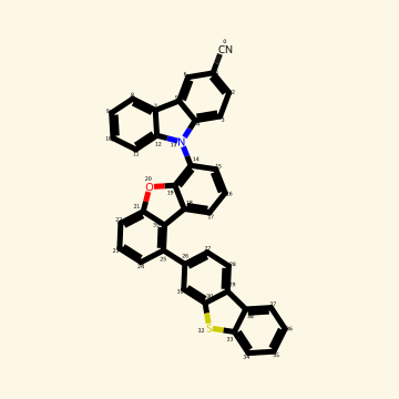 N#Cc1ccc2c(c1)c1ccccc1n2-c1cccc2c1oc1cccc(-c3ccc4c(c3)sc3ccccc34)c12